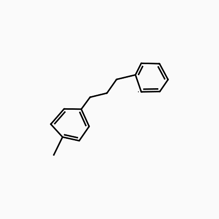 Cc1ccc(CCCc2[c]cccc2)cc1